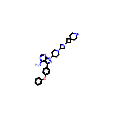 Nc1ncnc2c1c(-c1ccc(Oc3ccccc3)cc1)nn2C1CCN(C2CN(C3CC4(CCNCC4)C3)C2)CC1